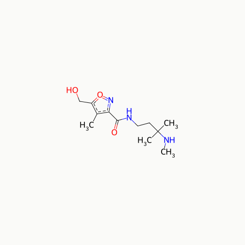 CNC(C)(C)CCNC(=O)c1noc(CO)c1C